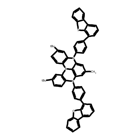 Cc1cc2c3c(c1)N(c1ccc(-c4cccc5c4sc4ccccc45)cc1)c1cc(C(C)(C)C)ccc1B3c1cc(C(C)(C)C)ccc1N2c1ccc(-c2cccc3c2oc2ccccc23)cc1